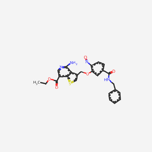 CCOC(=O)c1cnc(N)c2c(COc3cc(C(=O)NCc4ccccc4)ccc3N=O)csc12